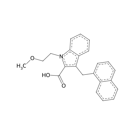 COCCn1c(C(=O)O)c(Cc2cccc3ccccc23)c2ccccc21